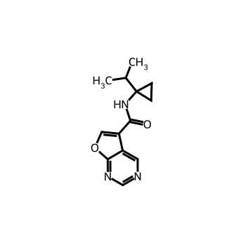 CC(C)C1(NC(=O)c2coc3ncncc23)CC1